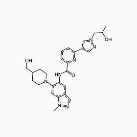 CC(O)Cn1cc(-c2cccc(C(=O)Nc3cc4cnn(C)c4cc3N3CCC(CO)CC3)n2)cn1